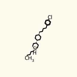 CCCCC[SiH]1CCC([C@H]2CC[C@H](CCCCc3ccc(Cl)cc3)CC2)CC1